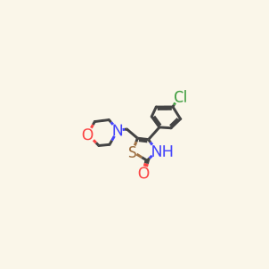 O=c1[nH]c(-c2ccc(Cl)cc2)c(CN2CCOCC2)s1